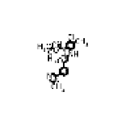 Cc1cncc(-c2cccc(C(=O)CCNc3cc(C)c(Cl)cc3NC(=O)OC(C)(C)C)c2)n1